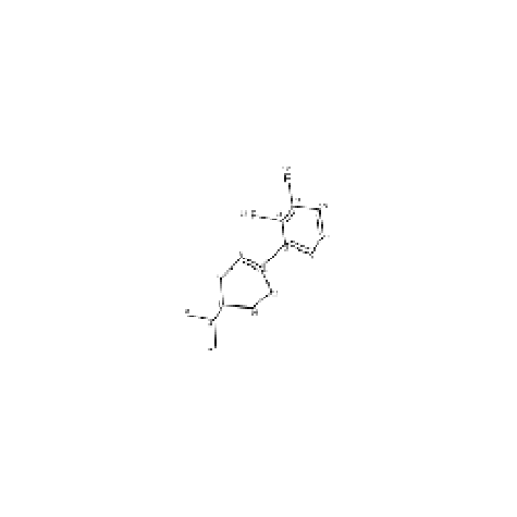 CC(C)C1CC=C(c2cccc(F)c2F)CC1